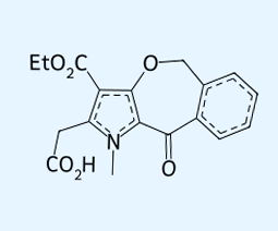 CCOC(=O)c1c2c(n(C)c1CC(=O)O)C(=O)c1ccccc1CO2